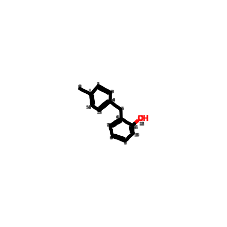 Cc1ccc(Cc2ccccc2O)cc1